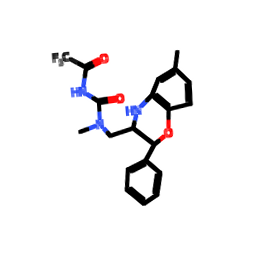 Cc1ccc2c(c1)NC(CN(C)C(=O)NC(=O)C(F)(F)F)C(c1ccccc1)O2